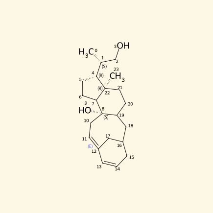 C[C@H](CO)[C@H]1CCC2[C@]3(O)C/C=C4/C=CCC(C4)CC3CC[C@@]21C